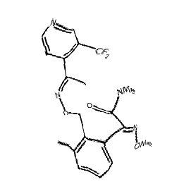 CNC(=O)/C(=N/OC)c1cccc(C)c1CO/N=C(\C)c1ccncc1C(F)(F)F